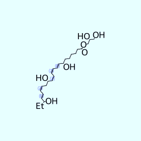 CCC(O)/C=C/C=C\CC(O)\C=C/C=C\C=C\C(O)CCCCCC(=O)OCC(O)CO